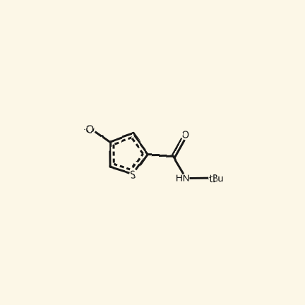 CC(C)(C)NC(=O)c1cc([O])cs1